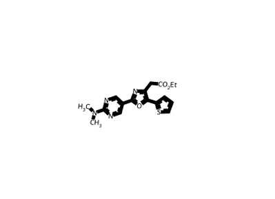 CCOC(=O)Cc1nc(-c2cnc(N(C)C)nc2)oc1-c1cccs1